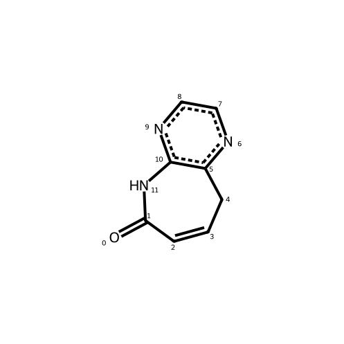 O=C1C=CCc2nccnc2N1